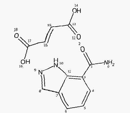 NC(=O)c1cccc2cn[nH]c12.O=C(O)C=CC(=O)O